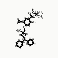 CC1(COc2cc(F)c(C(=O)OC(C)(C)C)cc2C2CC2)CN(C(c2ccccc2)c2ccccc2)C1